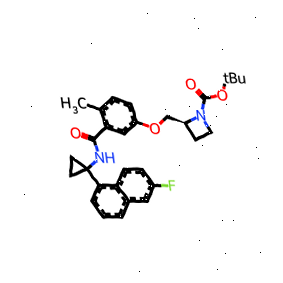 Cc1ccc(OC[C@@H]2CCN2C(=O)OC(C)(C)C)cc1C(=O)NC1(c2cccc3cc(F)ccc23)CC1